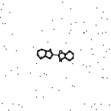 c1ccc2sc(-c3nc4ccccc4o3)cc2c1